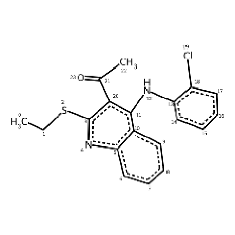 CCSc1nc2ccccc2c(Nc2ccccc2Cl)c1C(C)=O